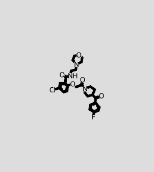 O=C(NCCN1CCOCC1)c1cc(Cl)ccc1OCC(=O)N1CCC(C(=O)c2ccc(F)cc2)CC1